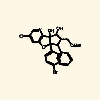 COCC1C(O)C2(O)c3ncc(Cl)cc3OC2(c2ccc(Br)cc2)C1c1ccccc1